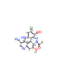 COc1cc2ncc(C#N)c(Nc3ccc(O)c(Cl)c3)c2cc1NC(C)=O